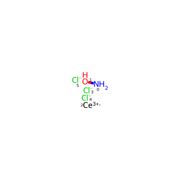 NO.[Ce+3].[Cl-].[Cl-].[Cl-]